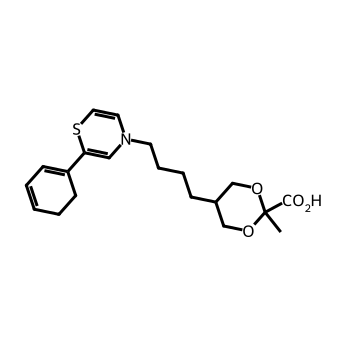 CC1(C(=O)O)OCC(CCCCN2C=CSC(C3=CC=CCC3)=C2)CO1